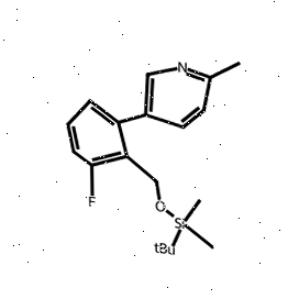 Cc1ccc(-c2cccc(F)c2CO[Si](C)(C)C(C)(C)C)cn1